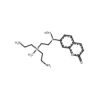 CCCCCCCCN(CC[N+](C)(CCN)CCN)c1ccc2ccc(=O)oc2c1